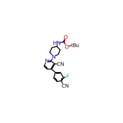 CC(C)(C)OC(=O)NC1CCN(c2nccc(-c3ccc(C#N)c(F)c3)c2C#N)CC1